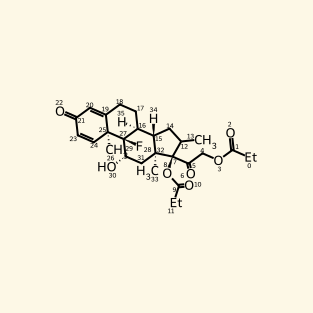 CCC(=O)OCC(=O)[C@@]1(OC(=O)CC)C(C)C[C@H]2[C@@H]3CCC4=CC(=O)C=C[C@]4(C)[C@@]3(F)[C@@H](O)C[C@@]21C